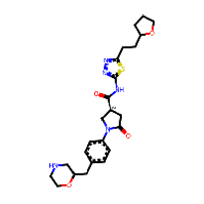 O=C(Nc1nnc(CCC2CCCO2)s1)[C@H]1CC(=O)N(c2ccc(CC3CNCCO3)cc2)C1